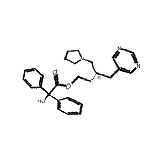 O=C(OCC[C@@H](Cc1cncnc1)CN1CCCC1)C(O)(c1ccccc1)c1ccccc1